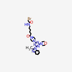 Cc1nc2ccccc2n1-c1nc(N2CCOCC2)nc(N2CCN(C(=O)CCCCCNC(=O)CBr)CC2)n1